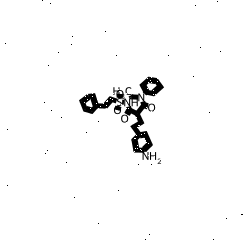 CCN(C(=O)C(CCc1ccc(N)cc1)C(=O)NS(=O)(=O)/C=C/c1ccccc1)c1ccccc1